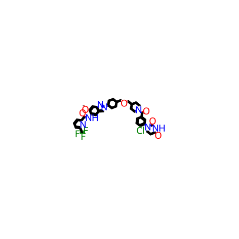 COc1cc2nn(C3CCC(COCC4CCN(C(=O)c5ccc(Cl)c(N6CCC(=O)NC6=O)c5)CC4)CC3)cc2cc1NC(=O)c1cccc(C(F)(F)F)n1